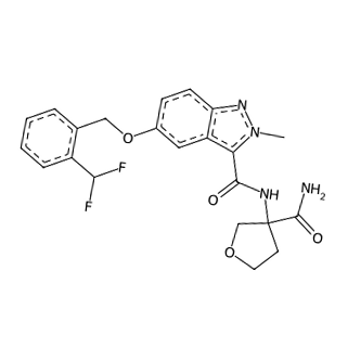 Cn1nc2ccc(OCc3ccccc3C(F)F)cc2c1C(=O)NC1(C(N)=O)CCOC1